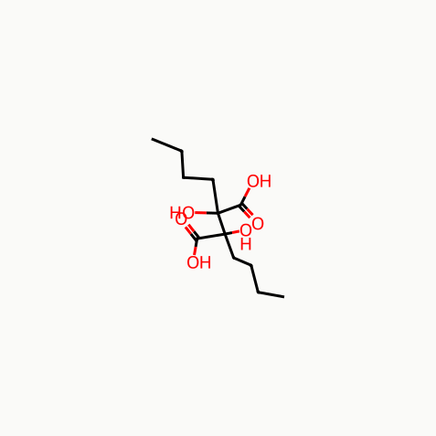 CCCCC(O)(C(=O)O)C(O)(CCCC)C(=O)O